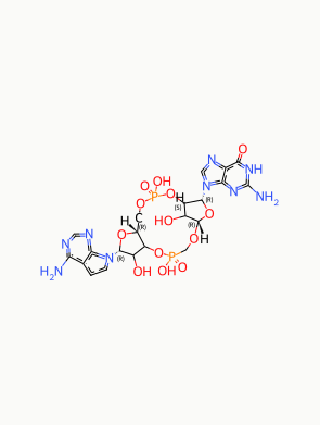 Nc1nc2c(ncn2[C@@H]2O[C@@H]3OCP(=O)(O)OC4C(O)[C@H](n5ccc6c(N)ncnc65)O[C@@H]4COP(=O)(O)O[C@H]2C3O)c(=O)[nH]1